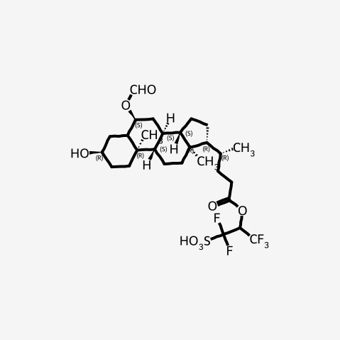 C[C@H](CCC(=O)OC(C(F)(F)F)C(F)(F)S(=O)(=O)O)[C@H]1CC[C@H]2[C@@H]3C[C@H](OC=O)C4C[C@H](O)CC[C@]4(C)[C@H]3CC[C@]12C